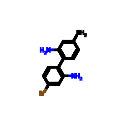 Bc1ccc(-c2ccc(Br)cc2N)c(N)c1